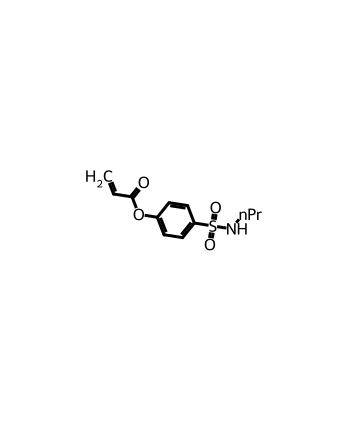 C=CC(=O)Oc1ccc(S(=O)(=O)NCCC)cc1